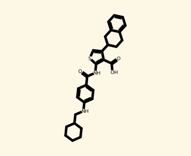 O=C(Nc1scc(C2CCc3ccccc3C2)c1C(=O)O)c1ccc(NCC2CCCCC2)cc1